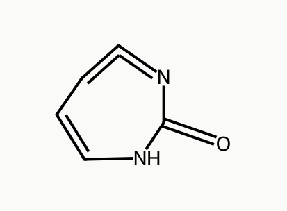 O=C1N=C=CC=CN1